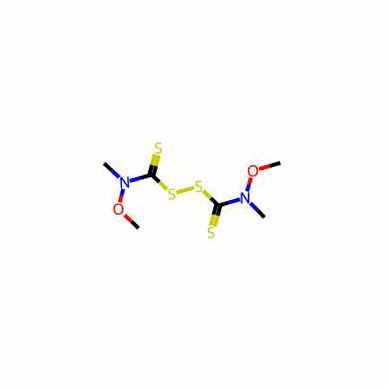 CON(C)C(=S)SSC(=S)N(C)OC